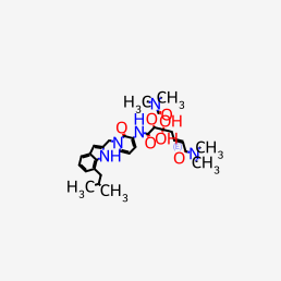 CC(C)Cc1cccc2cc(Cn3cccc(NC(=O)C(OC(=O)N(C)C)C(O)(O)C/C=C/C(=O)N(C)C)c3=O)[nH]c12